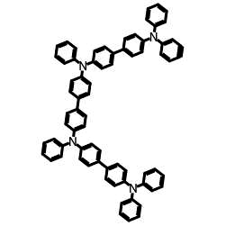 c1ccc(N(c2ccccc2)c2ccc(-c3ccc(N(c4ccccc4)c4ccc(-c5ccc(N(c6ccccc6)c6ccc(-c7ccc(N(c8ccccc8)c8ccccc8)cc7)cc6)cc5)cc4)cc3)cc2)cc#1